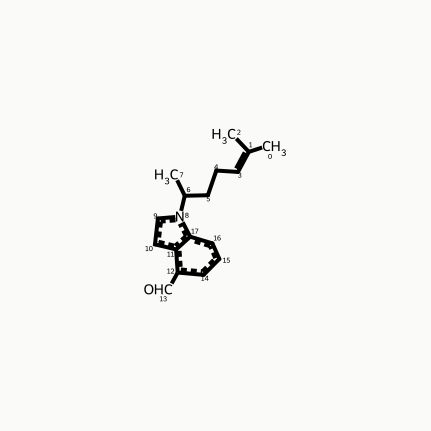 CC(C)=CCCC(C)n1ccc2c(C=O)cccc21